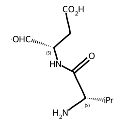 CC(C)[C@H](N)C(=O)N[C@H]([C]=O)CC(=O)O